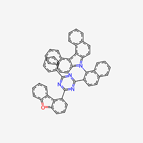 c1ccc(-c2nc(-c3ccc4ccccc4c3-n3c4ccc5ccccc5c4c4c5ccccc5ccc43)nc(-c3cccc4oc5ccccc5c34)n2)cc1